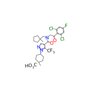 CC1(CN(CC(=O)c2c(Cl)cc(F)cc2Cl)C(=O)c2cnn([C@H]3CC[C@](C)(C(=O)O)CC3)c2C(F)(F)F)CCCC1